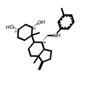 C=C1CCC2[C@@H](CNc3cccc(C)c3)C(C3(C)CC[C@H](O)C[C@@H]3O)CCC12C